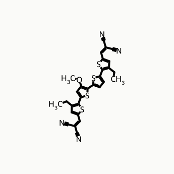 CCc1cc(C=C(C#N)C#N)sc1-c1ccc(-c2sc(-c3sc(C=C(C#N)C#N)cc3CC)cc2OC)s1